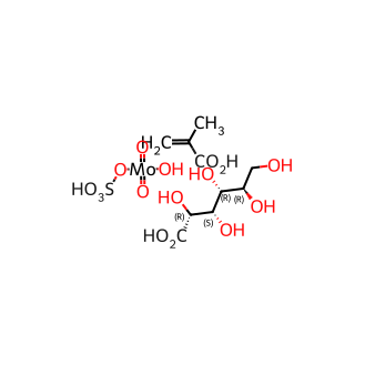 C=C(C)C(=O)O.O=C(O)[C@H](O)[C@@H](O)[C@H](O)[C@H](O)CO.O=S(=O)(O)[O][Mo](=[O])(=[O])[OH]